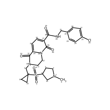 CN1CCC(S(=O)(=O)C2(CN3CCn4c(ccc(C(=O)NCc5ccc(Cl)cc5)c4=O)C3=O)CC2)C1